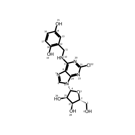 OC[C@H]1O[C@@H](n2cnc3c(NCc4cc(O)ccc4O)nc(Cl)nc32)[C@H](O)[C@@H]1O